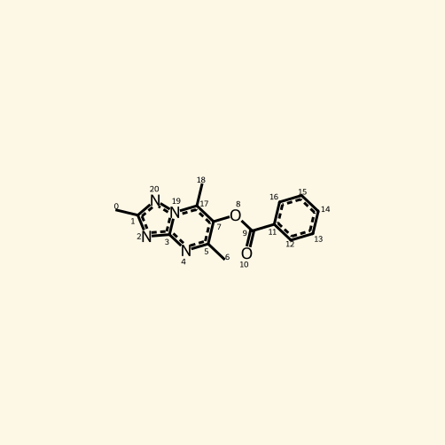 Cc1nc2nc(C)c(OC(=O)c3ccccc3)c(C)n2n1